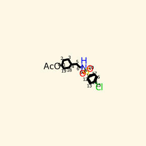 CC(=O)OC1CCC(CCNS(=O)(=O)c2ccc(Cl)cc2)CC1